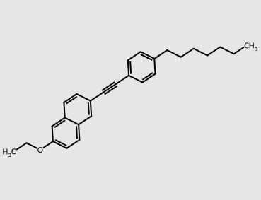 CCCCCCCc1ccc(C#Cc2ccc3cc(OCC)ccc3c2)cc1